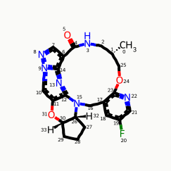 C[C@H]1CNC(=O)c2cnn3cc4c(nc23)N(Cc2cc(F)cnc2OC1)[C@@H]1CCC[C@@H]1O4